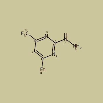 CCc1cc(C(F)(F)F)nc(NN)n1